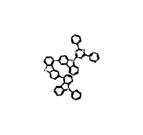 c1ccc(-c2cc(-n3c4ccccc4c4cc(-c5cccc6oc7ccc(-c8cccc9c8c8ccccc8n9-c8ccccc8)cc7c56)ccc43)nc(-c3ccccc3)n2)cc1